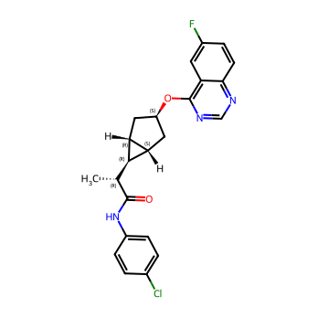 C[C@@H](C(=O)Nc1ccc(Cl)cc1)[C@H]1[C@@H]2C[C@@H](Oc3ncnc4ccc(F)cc34)C[C@@H]21